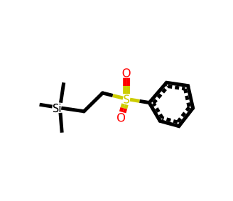 C[Si](C)(C)CCS(=O)(=O)c1ccccc1